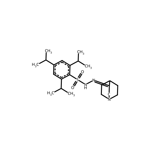 CC(C)c1cc(C(C)C)c(S(=O)(=O)N/N=C2\CN3CCC2CC3)c(C(C)C)c1